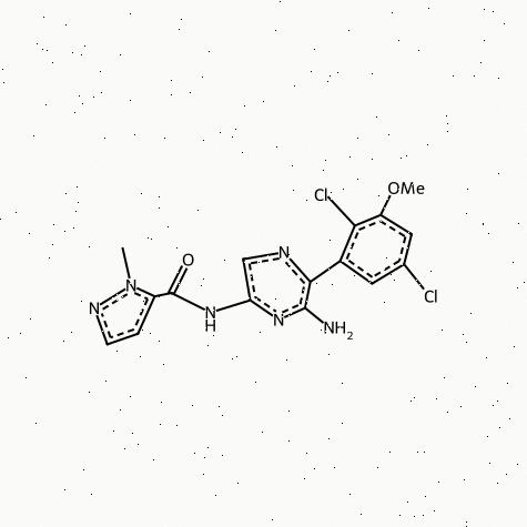 COc1cc(Cl)cc(-c2ncc(NC(=O)c3ccnn3C)nc2N)c1Cl